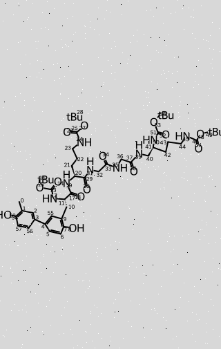 Cc1cc(-c2ccc(O)c(C[C@H](NC(=O)OC(C)(C)C)C(=O)N[C@@H](CCCNC(=O)OC(C)(C)C)C(=O)NCC(=O)NCC(=O)NC[C@H](CCCNC(=O)OC(C)(C)C)NC(=O)OC(C)(C)C)c2)ccc1O